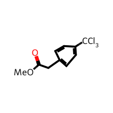 COC(=O)Cc1ccc(C(Cl)(Cl)Cl)cc1